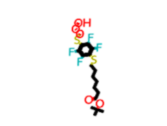 CC(C)(C)OC(=O)CCCCCCSc1c(F)c(F)c(SOOO)c(F)c1F